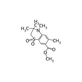 COC(=O)c1cc2c(cc1C)N(C)C(C)(C)CS2(=O)=O